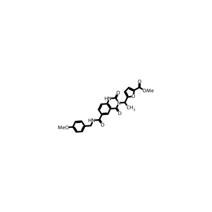 COC(=O)c1ccc(C(C)n2c(=O)[nH]c3ccc(C(=O)NCc4ccc(OC)cc4)cc3c2=O)o1